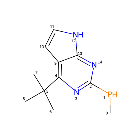 CPc1nc(C(C)(C)C)c2cc[nH]c2n1